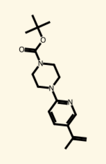 C=C(C)c1ccc(N2CCN(C(=O)OC(C)(C)C)CC2)nc1